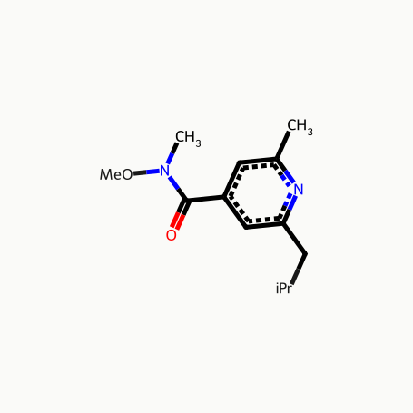 CON(C)C(=O)c1cc(C)nc(CC(C)C)c1